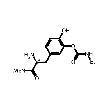 CCNC(=O)Oc1cc(C[C@H](N)C(=O)NC)ccc1O